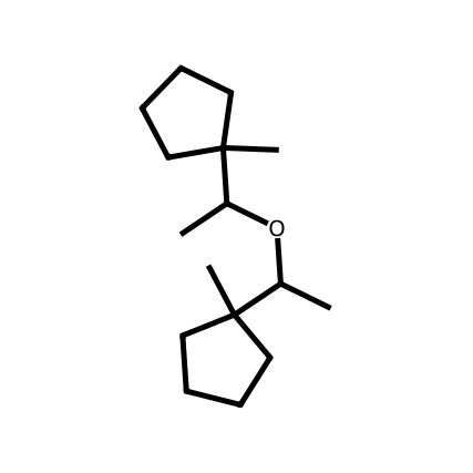 CC(OC(C)C1(C)CCCC1)C1(C)CCCC1